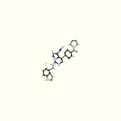 CC(c1ccc(-c2cnc(NCc3c(F)ccc4c3CCO4)n3cnc(C#N)c23)cc1)N1CCCC1